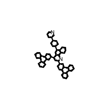 c1cncc(-c2ccc(-c3cc4c(-c5ccc6c7ccccc7c7ccccc7c6c5)cc(-c5ccc6c7ccccc7c7ccccc7c6c5)nc4c4ccccc34)cc2)c1